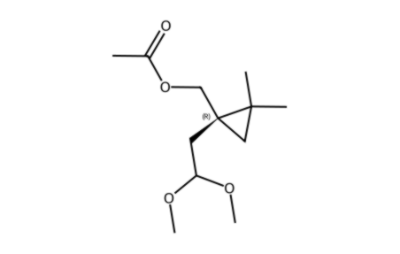 COC(C[C@]1(COC(C)=O)CC1(C)C)OC